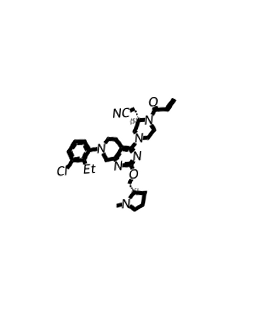 C=CC(=O)N1CCN(c2nc(OC[C@@H]3CCCN3C)nc3c2CCN(c2cccc(Cl)c2CC)C3)C[C@@H]1CC#N